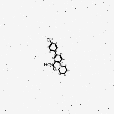 O=C(O)c1cc(-c2ccc(Cl)cc2)ccc1N1CCCCC1